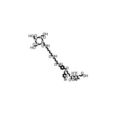 CC(=O)[C@@H](CCC(=O)O)NC(=O)N[C@H](CCCCN(Cc1ccc(Br)nc1)C(=O)c1ccc(CNC(=O)CCCCNC(=O)CCCCCCNC(=O)CN2CCN(CC(=O)O)CCN(CC(=O)O)CCN(CC(=O)O)CC2)cc1)C(=O)O